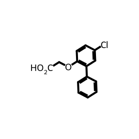 O=C(O)COc1ccc(Cl)cc1-c1ccccc1